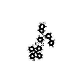 c1ccc(-c2cccc(N(c3ccc4c(c3)Oc3ccc5c(c3O4)-c3ccccc3C5(c3ccccc3)c3ccccc3)c3ccc4ccccc4c3)c2)cc1